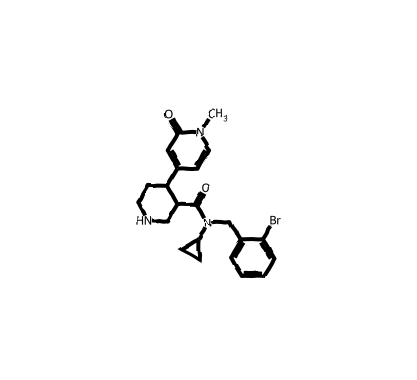 Cn1ccc(C2CCNCC2C(=O)N(Cc2ccccc2Br)C2CC2)cc1=O